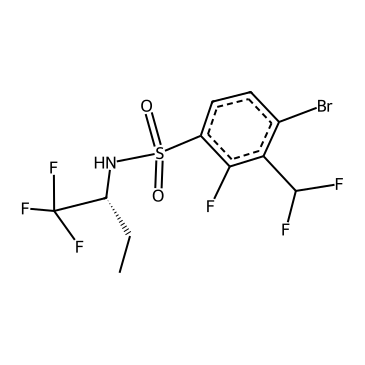 CC[C@@H](NS(=O)(=O)c1ccc(Br)c(C(F)F)c1F)C(F)(F)F